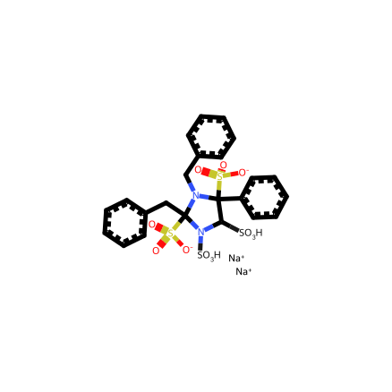 O=S(=O)(O)C1N(S(=O)(=O)O)C(Cc2ccccc2)(S(=O)(=O)[O-])N(Cc2ccccc2)C1(c1ccccc1)S(=O)(=O)[O-].[Na+].[Na+]